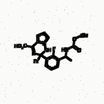 CC[C@@]1(c2cccc(C(C)NC(=O)OC(C)(C)C)c2F)N=C(C(=O)O)c2cccn2N1